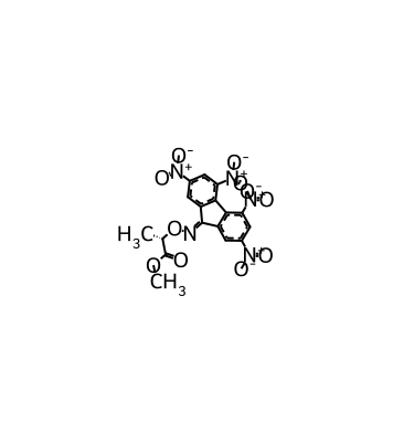 COC(=O)[C@H](C)ON=C1c2cc([N+](=O)[O-])cc([N+](=O)[O-])c2-c2c1cc([N+](=O)[O-])cc2[N+](=O)[O-]